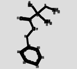 NCC(N)(Br)C(=O)OCc1ccccc1